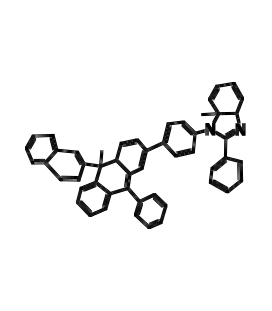 CC1(c2ccc3ccccc3c2)c2ccccc2C(c2ccccc2)=C2C=C(c3ccc(N4C(c5ccccc5)=NC5C=CC=CC54C)cc3)C=CC21